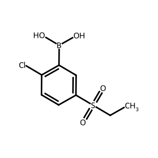 CCS(=O)(=O)c1ccc(Cl)c(B(O)O)c1